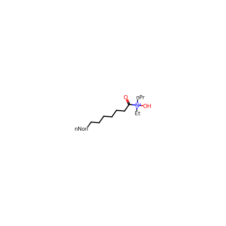 CCCCCCCCCCCCCCCC(=O)[N+](O)(CC)CCC